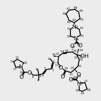 C/C(=C\C=C\C(C)(C)COC(=O)N1CCCC1)[C@H]1OC(=O)C[C@H](OC(=O)N2CCCC2)CC[C@@](C)(O)[C@@H](OC(=O)N2CCN(C3CCCCCC3)CC2)/C=C/[C@@H]1C